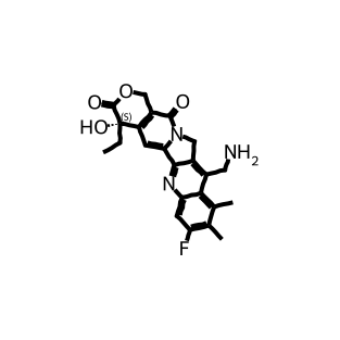 CC[C@@]1(O)C(=O)OCc2c1cc1n(c2=O)Cc2c-1nc1cc(F)c(C)c(C)c1c2CN